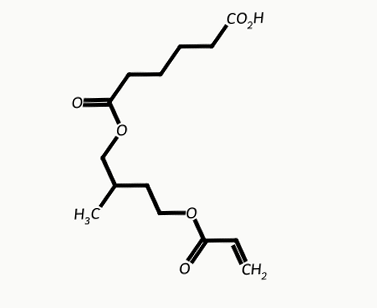 C=CC(=O)OCCC(C)COC(=O)CCCCC(=O)O